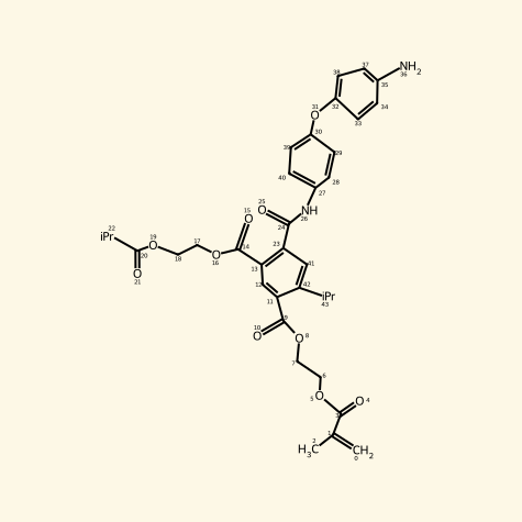 C=C(C)C(=O)OCCOC(=O)c1cc(C(=O)OCCOC(=O)C(C)C)c(C(=O)Nc2ccc(Oc3ccc(N)cc3)cc2)cc1C(C)C